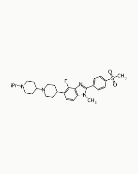 CC(C)N1CCC(N2CCC(c3ccc4c(nc(-c5ccc(S(C)(=O)=O)cc5)n4C)c3F)CC2)CC1